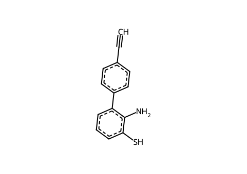 C#Cc1ccc(-c2cccc(S)c2N)cc1